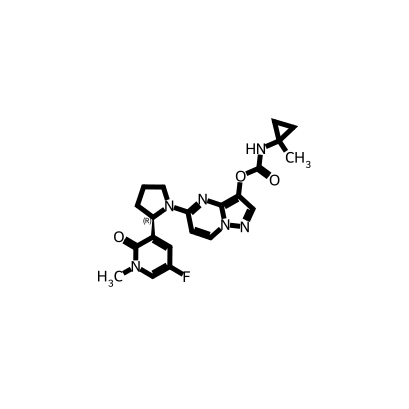 Cn1cc(F)cc([C@H]2CCCN2c2ccn3ncc(OC(=O)NC4(C)CC4)c3n2)c1=O